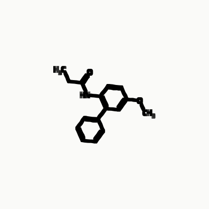 CCC(=O)Nc1ccc(OC)cc1-c1ccccc1